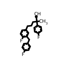 C#CC(C)(CCCc1ccc(F)c(Cc2ccc(F)cc2)c1)c1ccc(F)cc1